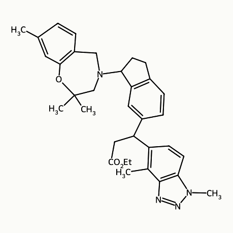 CCOC(=O)CC(c1ccc2c(c1)C(N1Cc3ccc(C)cc3OC(C)(C)C1)CC2)c1ccc2c(nnn2C)c1C